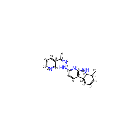 C/C(=N/Nc1ccc2c(n1)NC1C2=CC=CC1C)c1cccnc1